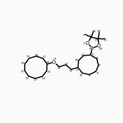 CC1(C)OB(C2CCCCCC(CCCOC3CCCCCCCCC3)CC2)OC1(C)C